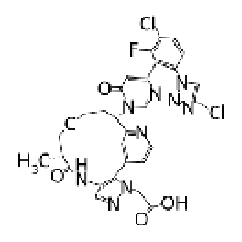 C[C@@H]1CCCC[C@H](n2cnc(-c3c(-n4cc(Cl)nn4)ccc(Cl)c3F)cc2=O)c2cc(ccn2)-c2c(cnn2CC(=O)O)NC1=O